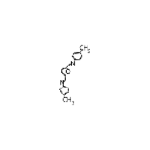 Cc1ccc(N=Cc2ccc(C=Nc3ccc(C)cc3)o2)cc1